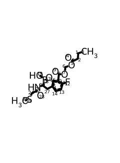 CCCC(=O)OCOC(=O)c1c(F)ccc2c1OB(O)C(NC(=O)CSC)C2